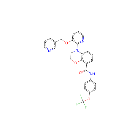 O=C(Nc1ccc(OC(F)(F)F)cc1)c1cccc2c1OCCN2c1ncccc1OCc1cccnc1